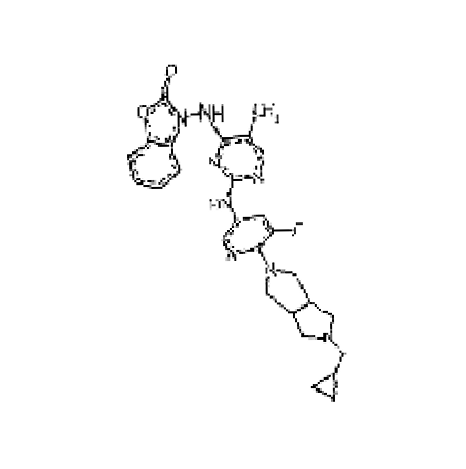 Cc1cnc(Nc2cnc(N3CC4CN(CC5CC5)CC4C3)c(F)c2)nc1Nn1c(=O)oc2ccccc21